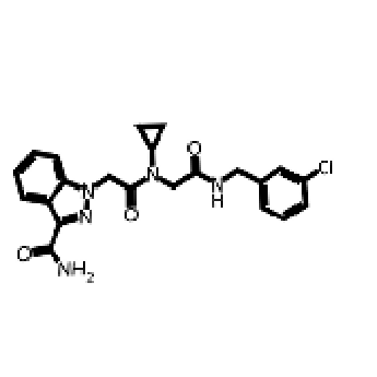 NC(=O)c1nn(CC(=O)N(CC(=O)NCc2cccc(Cl)c2)C2CC2)c2ccccc12